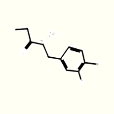 CCC(=O)[C@H](N)Cc1ccc(F)c(F)c1